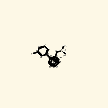 Cc1cccc([C]23[CH]4[CH]5[CH]6[C]2(CN(C)C)[Fe]56432789[CH]3[CH]2[CH]7[CH]8[CH]39)c1